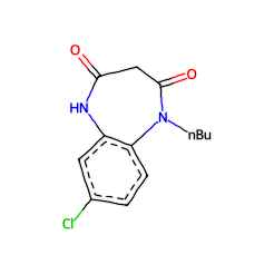 CCCCN1C(=O)CC(=O)Nc2cc(Cl)ccc21